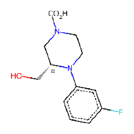 O=C(O)N1CCN(c2cccc(F)c2)[C@H](CO)C1